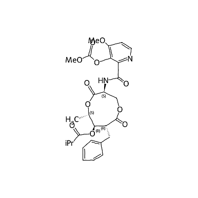 COC(=O)Oc1c(OC)ccnc1C(=O)N[C@H]1COC(=O)[C@H](Cc2ccccc2)[C@@H](OC(=O)C(C)C)[C@H](C)OC1=O